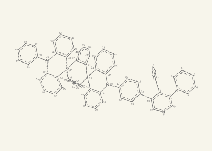 N#Cc1c(-c2ccccc2)cncc1-c1ccc(N2c3ccccc3C3(c4ccccc42)c2ccccc2[Si]2(c4ccccc4N(c4ccccc4)c4ccccc42)c2ccccc23)cc1